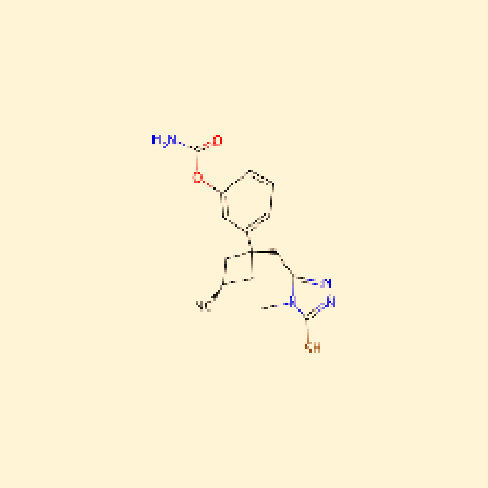 Cn1c(S)nnc1C[C@]1(c2cccc(OC(N)=O)c2)C[C@H](C#N)C1